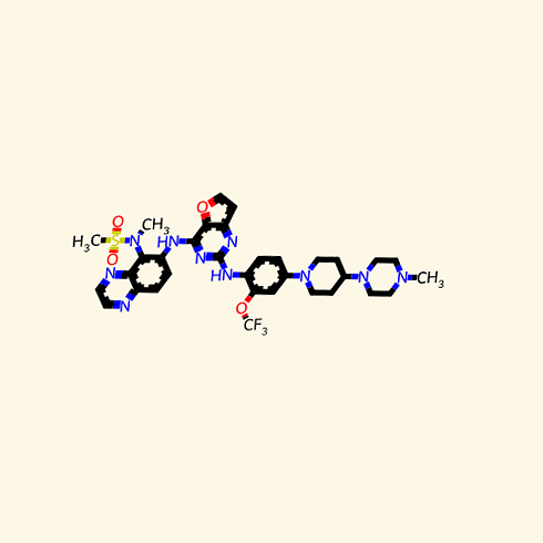 CN1CCN(C2CCN(c3ccc(Nc4nc(Nc5ccc6nccnc6c5N(C)S(C)(=O)=O)c5occc5n4)c(OC(F)(F)F)c3)CC2)CC1